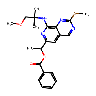 COCC(C)(C)Nc1nc(C(C)OC(=O)c2ccccc2)cc2cnc(SC)nc12